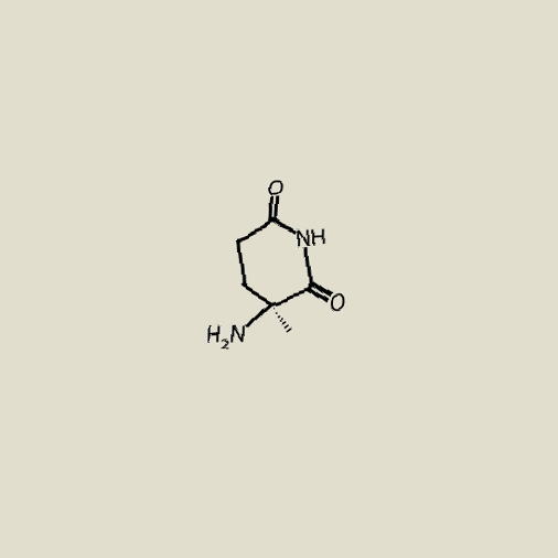 C[C@]1(N)CCC(=O)NC1=O